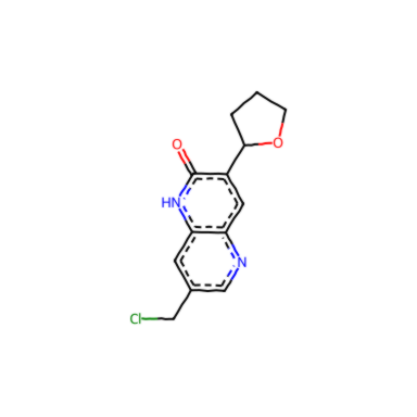 O=c1[nH]c2cc(CCl)cnc2cc1C1CCCO1